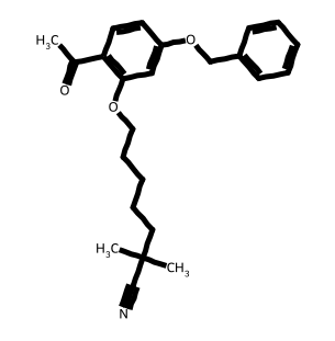 CC(=O)c1ccc(OCc2ccccc2)cc1OCCCCCC(C)(C)C#N